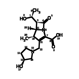 C[C@@H](O)[C@@H]1C(=O)N2C(C(=O)O)=C(CN3CC[C@H](O)C3)[C@H](C)[C@H]12